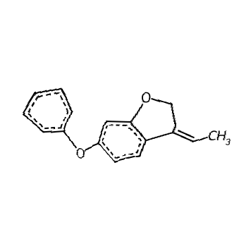 C/C=C1\COc2cc(Oc3ccccc3)ccc21